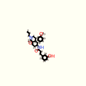 C=CCN1CC[C@@]2(c3cccc(OC)c3)C[C@@H](NC(=O)C=Cc3cccc(O)c3)CC[C@]2(OC)C1